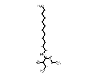 CCCCCCCCCCCCNC(OCC)C(O)CO